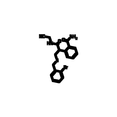 N#CCNC(=O)C(CSCc1ccccc1Br)c1ccccc1C(N)=O